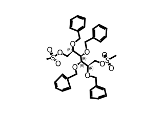 CS(=O)(=O)OC[C@@H](OCc1ccccc1)[C@@H](OCc1ccccc1)[C@H](OCc1ccccc1)[C@@H](COS(C)(=O)=O)OCc1ccccc1